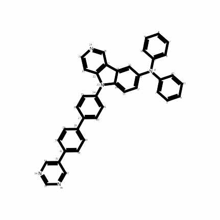 c1ccc(N(c2ccccc2)c2ccc3c(c2)c2cnccc2n3-c2ccc(-c3ccc(-c4cncnc4)cc3)cc2)cc1